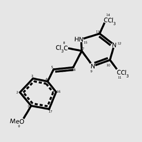 COc1ccc(C=CC2(C(Cl)(Cl)Cl)N=C(C(Cl)(Cl)Cl)N=C(C(Cl)(Cl)Cl)N2)cc1